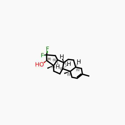 CC1=CC[C@@]2(C)[C@@H](CC[C@@H]3[C@@H]2CC[C@@]2(C)[C@H]3CC(F)(F)[C@@H]2O)C1